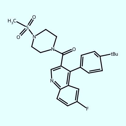 CC(C)(C)c1ccc(-c2c(C(=O)N3CCN(S(C)(=O)=O)CC3)cnc3ccc(F)cc23)cc1